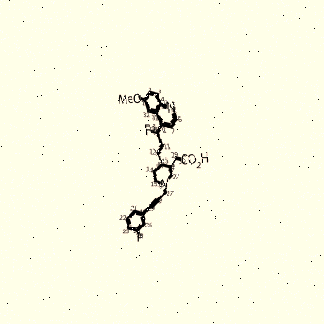 COc1ccc2nccc([C@H](F)CC[C@@H]3CCN(CC#Cc4cccc(F)c4)C[C@@H]3CC(=O)O)c2c1